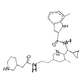 Cc1cccc2c1NC(C(=O)NC(C1CC1)C1NCC(CCNC(=O)CC3CCCNC3)CC1C)C2